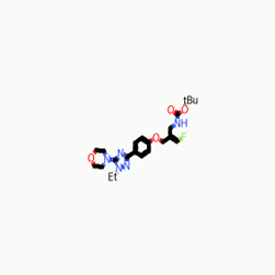 CCn1nc(-c2ccc(OC/C(=C/F)CNC(=O)OC(C)(C)C)cc2)nc1N1CCOCC1